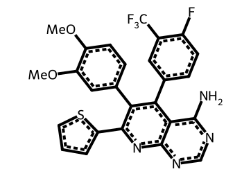 COc1ccc(-c2c(-c3cccs3)nc3ncnc(N)c3c2-c2ccc(F)c(C(F)(F)F)c2)cc1OC